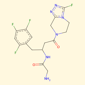 NCC(=O)NC(CC(=O)N1CCn2c(F)nnc2C1)Cc1cc(F)c(F)cc1F